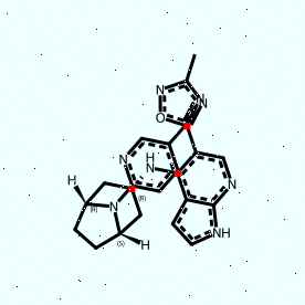 Cc1noc(-c2cnc3[nH]ccc3c2N[C@H]2C[C@H]3CC[C@@H](C2)N3c2ccc(C#N)cn2)n1